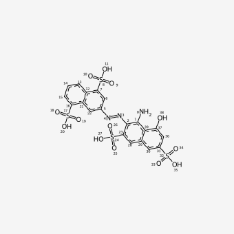 Nc1c(N=Nc2cc(S(=O)(=O)O)c3cccc(S(=O)(=O)O)c3c2)c(S(=O)(=O)O)cc2cc(S(=O)(=O)O)cc(O)c12